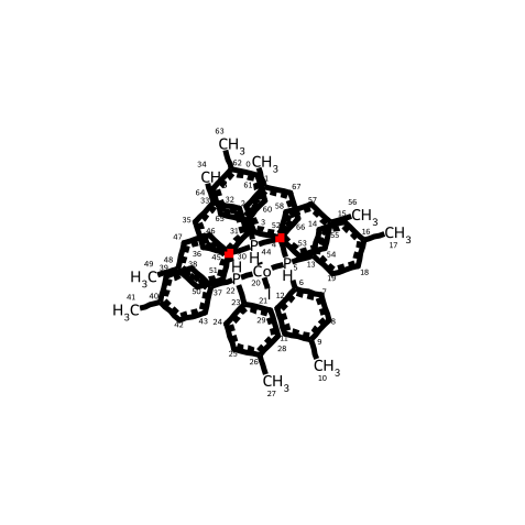 Cc1ccc([PH](c2ccc(C)cc2)(c2ccc(C)cc2)[Co]([I])([PH](c2ccc(C)cc2)(c2ccc(C)cc2)c2ccc(C)cc2)[PH](c2ccc(C)cc2)(c2ccc(C)cc2)c2ccc(C)cc2)cc1